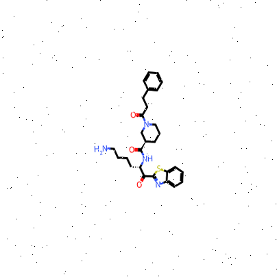 NCCCC[C@H](NC(=O)[C@@H]1CCCN(C(=O)CCc2ccccc2)C1)C(=O)c1nc2ccccc2s1